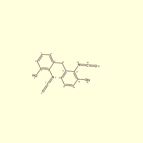 O=C=Nc1c(O)cccc1Cc1cccc(O)c1N=C=O